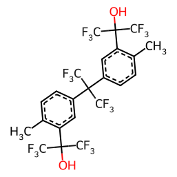 Cc1ccc(C(c2ccc(C)c(C(O)(C(F)(F)F)C(F)(F)F)c2)(C(F)(F)F)C(F)(F)F)cc1C(O)(C(F)(F)F)C(F)(F)F